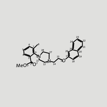 COC(=O)c1cccc(C)c1N1CCN(CCOc2ccc3ccccc3c2)CC1